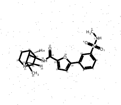 CNS(=O)(=O)c1cccc(-c2ccc(C(=O)N[C@@H]3C4CCN(CC4)[C@H]3C)o2)c1